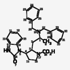 CC(CC1C(n2c(=O)[nH]c3ccccc32)CCN1C(=O)O)N(Cc1ccccc1)Cc1ccccc1